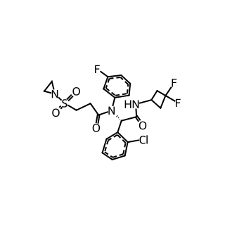 O=C(NC1CC(F)(F)C1)[C@H](c1ccccc1Cl)N(C(=O)CCS(=O)(=O)N1CC1)c1cccc(F)c1